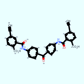 C#Cc1ccc(C(=O)O)c(C(=O)Nc2ccc(C(=O)c3ccc(NC(=O)c4cc(C#C)ccc4C(=O)O)cc3)cc2)c1